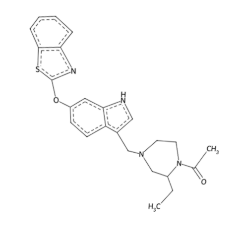 CCC1CN(Cc2c[nH]c3cc(Oc4nc5ccccc5s4)ccc23)CCN1C(C)=O